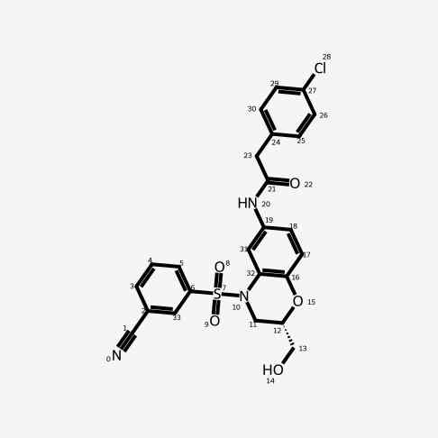 N#Cc1cccc(S(=O)(=O)N2C[C@@H](CO)Oc3ccc(NC(=O)Cc4ccc(Cl)cc4)cc32)c1